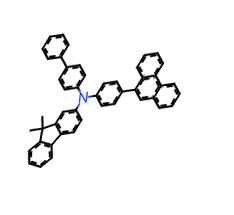 CC1(C)c2ccccc2-c2ccc(N(c3ccc(-c4ccccc4)cc3)c3ccc(-c4cc5ccccc5c5ccccc45)cc3)cc21